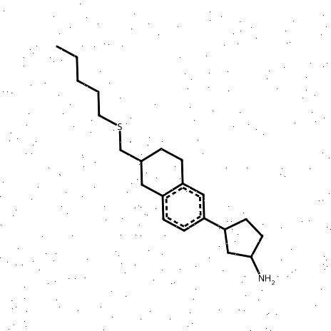 CCCCCSCC1CCc2cc(C3CCC(N)C3)ccc2C1